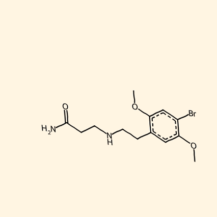 COc1cc(CCNCCC(N)=O)c(OC)cc1Br